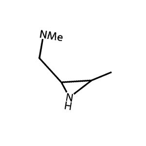 CNCC1NC1C